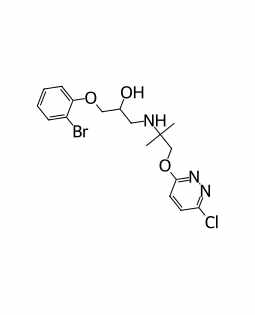 CC(C)(COc1ccc(Cl)nn1)NCC(O)COc1ccccc1Br